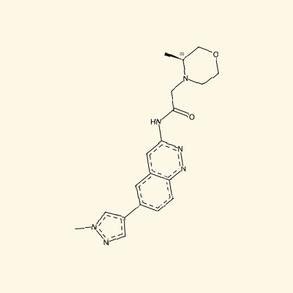 C[C@H]1COCCN1CC(=O)Nc1cc2cc(-c3cnn(C)c3)ccc2nn1